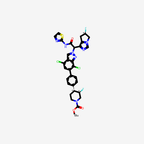 CC(C)(C)OC(=O)N1CC[C@H](c2ccc(-c3cc(Cl)c4cn(C(C(=O)Nc5nccs5)c5ncn6c5C[C@@H](F)C6)nc4c3Cl)cc2)[C@@H](F)C1